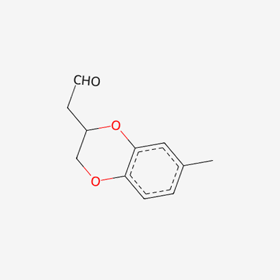 Cc1ccc2c(c1)OC(CC=O)CO2